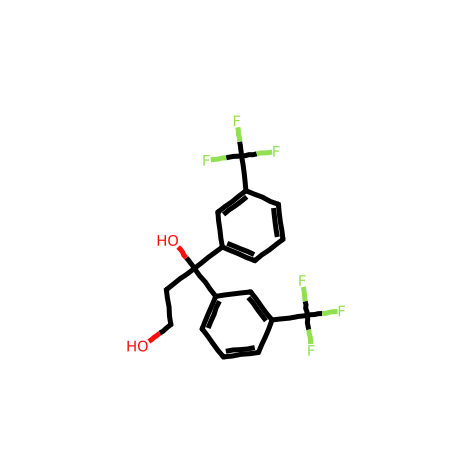 OCCC(O)(c1cccc(C(F)(F)F)c1)c1cccc(C(F)(F)F)c1